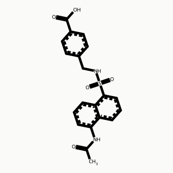 CC(=O)Nc1cccc2c(S(=O)(=O)NCc3ccc(C(=O)O)cc3)cccc12